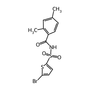 Cc1ccc(C(=O)NS(=O)(=O)c2ccc(Br)s2)c(C)c1